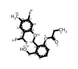 CCC(=O)Oc1cccc(CO)c1COc1cc(F)c(C)cc1C(F)F